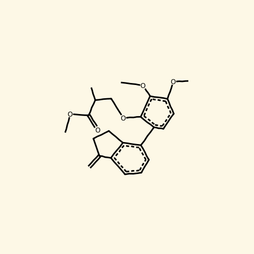 C=C1CCc2c1cccc2-c1ccc(OC)c(OC)c1OCC(C)C(=O)OC